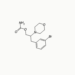 NC(=O)OCC(Cc1cccc(Br)c1)N1CCOCC1